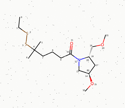 CCSSC(C)(C)CCCC(=O)N1C[C@H](OC)C[C@H]1COC